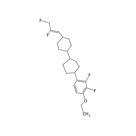 CCOc1ccc(C2CCC(C3CCC(/C=C(\F)CF)CC3)CC2)c(F)c1F